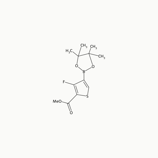 COC(=O)c1scc(B2OC(C)(C)C(C)(C)O2)c1F